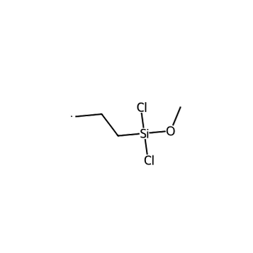 [CH2]CC[Si](Cl)(Cl)OC